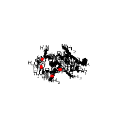 CC(C)NC(=O)N[C@H](CNC(=O)N[C@@H](CCCCN)CNC(=O)N[C@H](CNC(=O)N[C@H](CNC(=O)N[C@@H](CCCCN)CNC(=O)N[C@H](CNC(=O)N[C@@H](CCCCN)CNC(=O)N[C@H](CNC(=O)N[C@H](CNC(=O)N[C@@H](CCCCN)CCC(N)=O)C(C)C)C(C)C)Cc1c[nH]c2ccccc12)C(C)C)Cc1c[nH]c2ccccc12)C(C)C